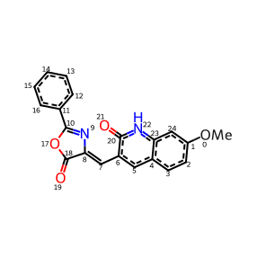 COc1ccc2cc(/C=C3\N=C(c4ccccc4)OC3=O)c(=O)[nH]c2c1